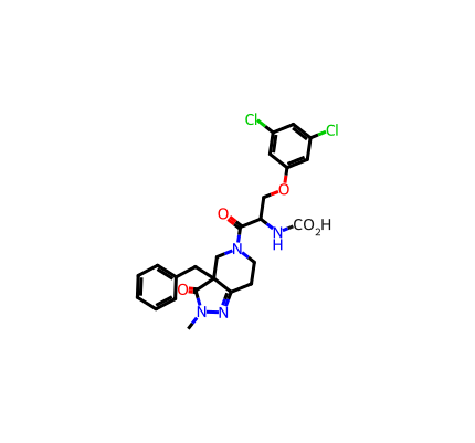 CN1N=C2CCN(C(=O)C(COc3cc(Cl)cc(Cl)c3)NC(=O)O)CC2(Cc2ccccc2)C1=O